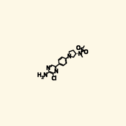 CN([C@H]1CCN(c2ccc(-c3cnc(N)c(Cl)n3)cc2)C1)S(C)(=O)=O